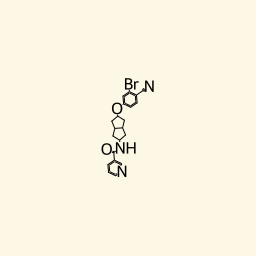 N#Cc1ccc(OC2CC3CC(NC(=O)c4cccnc4)CC3C2)cc1Br